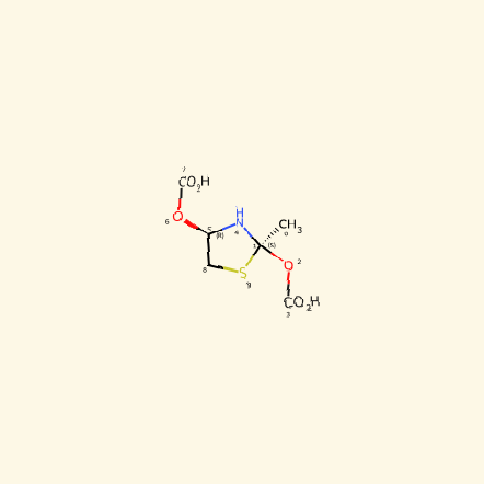 C[C@@]1(OC(=O)O)N[C@H](OC(=O)O)CS1